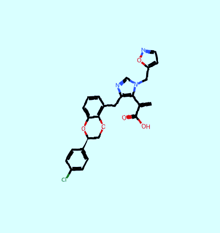 C=C(C(=O)O)c1c(Cc2cccc3c2OC[C@@H](c2ccc(Cl)cc2)O3)ncn1Cc1ccno1